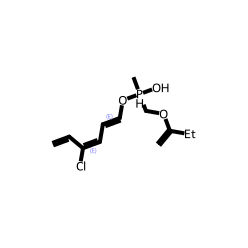 C=C/C(Cl)=C\C=C\O[PH](C)(O)COC(=C)CC